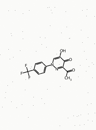 CC(=O)c1nn(-c2ccc(C(F)(F)F)cc2)cc(O)c1=O